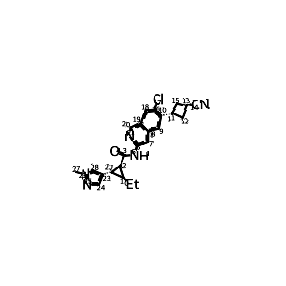 CC[C@@H]1[C@H](C(=O)Nc2cc3cc([C@H]4C[C@H](C#N)C4)c(Cl)cc3cn2)[C@H]1c1cnn(C)c1